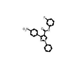 O=C(Oc1cccc(F)c1)c1cn(-c2ccccc2)nc1-c1ccc([N+](=O)[O-])cc1